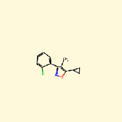 Cc1c(-c2ccccc2Cl)noc1C1CC1